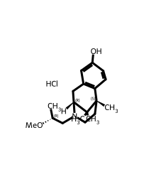 CO[C@H](C)CN1CC[C@@]2(C)c3ccc(O)cc3C[C@@H]1C2(C)C.Cl